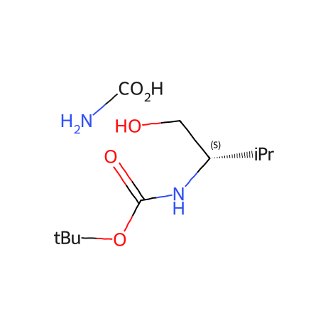 CC(C)[C@@H](CO)NC(=O)OC(C)(C)C.NC(=O)O